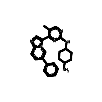 Cc1cnc(NC2CCC(N)CC2)nc1-c1cnc2ccc(-c3ccccc3)cn12